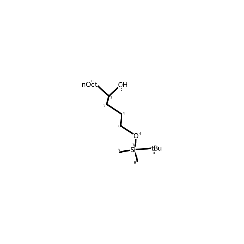 CCCCCCCCC(O)CCCO[Si](C)(C)C(C)(C)C